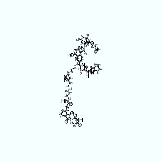 Cc1cc(N(CCCCCn2cc(CCCCCCCNC(=O)COc3cccc4c3C(=O)N(C3CCC(=O)NC3=O)C4=O)nn2)c2ccc(-c3cnn(CC45CC6(C)CC(C)(C4)CC(OCCN(C)C)(C6)C5)c3C)c(C(=O)O)n2)nnc1Nc1nc2ccccc2s1